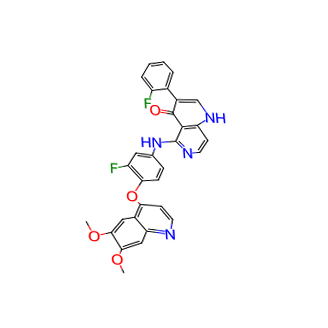 COc1cc2nccc(Oc3ccc(Nc4nccc5[nH]cc(-c6ccccc6F)c(=O)c45)cc3F)c2cc1OC